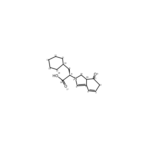 O=C1CC=CC2=CN([C@H](CC3CCCCC3)C(=O)O)CC12